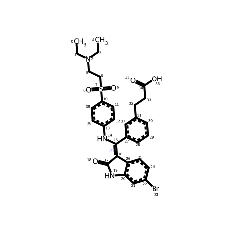 CCN(CC)CCS(=O)(=O)c1ccc(N/C(=C2\C(=O)Nc3cc(Br)ccc32)c2cccc(CCC(=O)O)c2)cc1